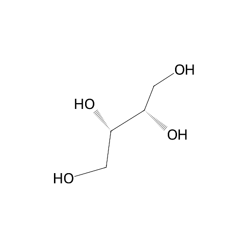 OC[C@H](O)[C@@H](O)CO